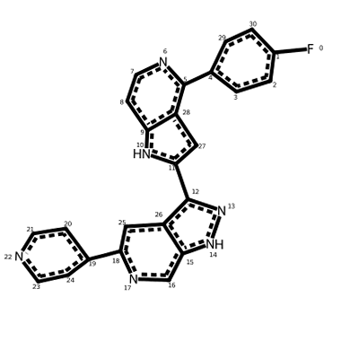 Fc1ccc(-c2nccc3[nH]c(-c4n[nH]c5cnc(-c6ccncc6)cc45)cc23)cc1